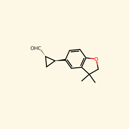 CC1(C)COc2ccc([C@H]3C[C@@H]3C=O)cc21